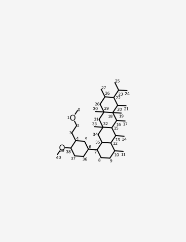 COCCC1CC(C2CCC(C)C3C(C)C4C(C)C5(C)C(C)C(C(C)C)C(C)CC5(C)CC4(C)CC23)CCC1OC